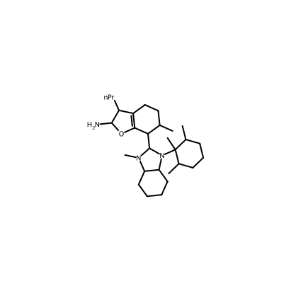 CCCC1C2=C(OC1N)C(C1N(C)C3CCCCC3N1C1(C)C(C)CCCC1C)C(C)CC2